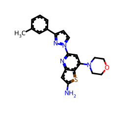 Cc1cccc(-c2ccn(-c3cc(N4CCOCC4)c4sc(N)cc4n3)n2)c1